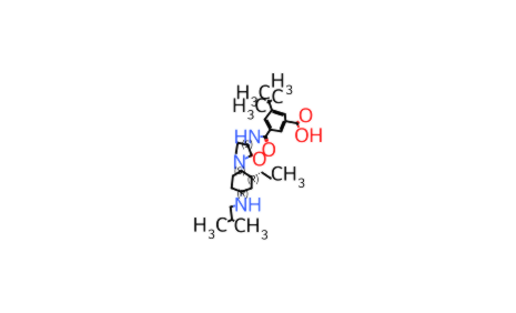 CCC[C@@H]1C[C@H](NCC(C)C)CC[C@@H]1N1CC[C@H](NC(=O)c2cc(C(=O)O)cc(C(C)(C)C)c2)C1=O